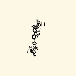 O=C(Nc1ccc2c(c1)C(F)(F)c1cc(-c3ccc(-c4cnc([C@@H]5C[C@H](F)CN5)[nH]4)cc3)ccc1-2)[C@@H]1C[C@H](F)CN1